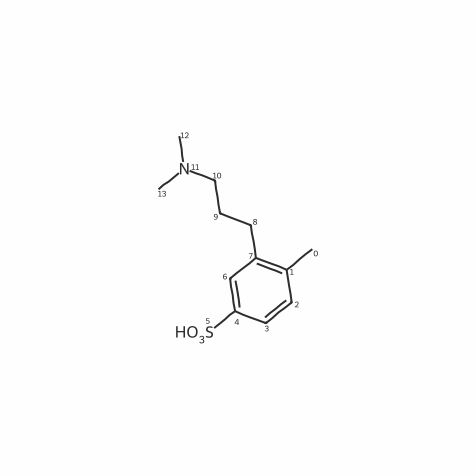 Cc1ccc(S(=O)(=O)O)cc1CCCN(C)C